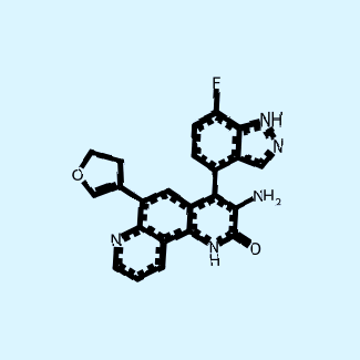 Nc1c(-c2ccc(F)c3[nH]ncc23)c2cc(C3=COCC3)c3ncccc3c2[nH]c1=O